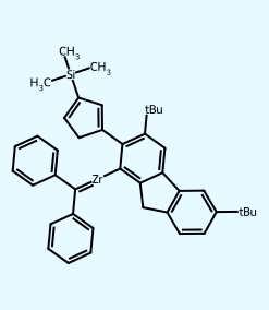 CC(C)(C)c1ccc2c(c1)-c1cc(C(C)(C)C)c(C3=CC([Si](C)(C)C)=CC3)[c]([Zr]=[C](c3ccccc3)c3ccccc3)c1C2